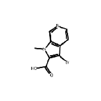 Cn1c(C(=O)O)c(Br)c2ccncc21